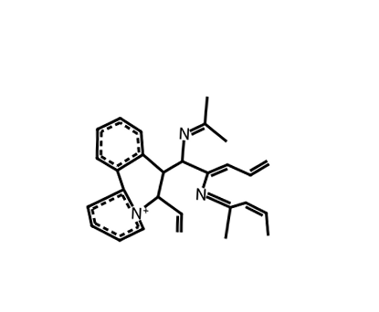 C=CC=C(N=C(C)/C=C\C)C(N=C(C)C)C1c2ccccc2-c2cccc[n+]2C1C=C